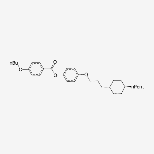 CCCCC[C@H]1CC[C@H](CCCOc2ccc(OC(=O)c3ccc(OCCCC)cc3)cc2)CC1